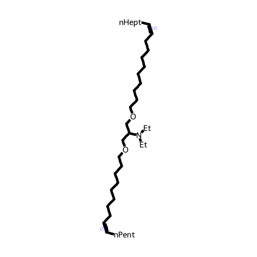 CCCCC/C=C\CCCCCCCCOCC(COCCCCCCCCC/C=C\CCCCCCC)N(CC)CC